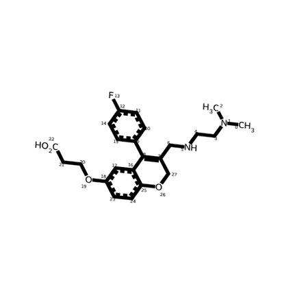 CN(C)CCNCC1=C(c2ccc(F)cc2)c2cc(OCCC(=O)O)ccc2OC1